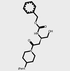 CCCC(C)C1CCN(C(=O)C[C@H](CO)NC(=O)OCc2ccccc2)CC1